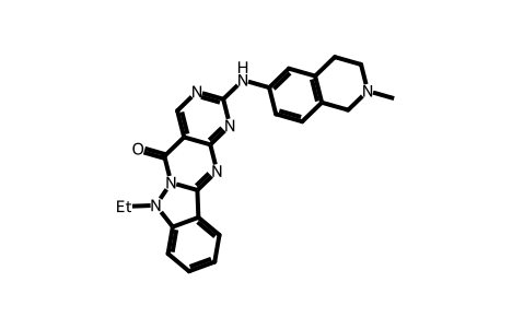 CCn1c2ccccc2c2nc3nc(Nc4ccc5c(c4)CCN(C)C5)ncc3c(=O)n21